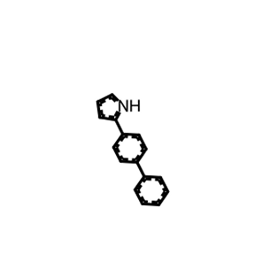 c1ccc(-c2ccc(-c3ccc[nH]3)cc2)cc1